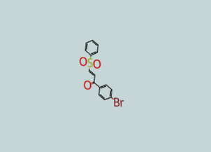 O=C(/C=C/S(=O)(=O)c1ccccc1)c1ccc(Br)cc1